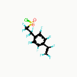 O=S(=O)(Cl)C(F)(F)C(F)(F)c1c(F)c(F)c(C(F)=C(F)F)c(F)c1F